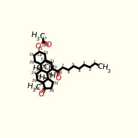 CCCCCCCCC(=O)C1C=C2C[C@@H](OC(C)=O)CC[C@]2(C)[C@H]2CC[C@]3(C)C(=O)CC[C@H]3[C@H]12